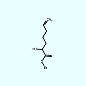 C=CCCCC(O)C(=O)OCC